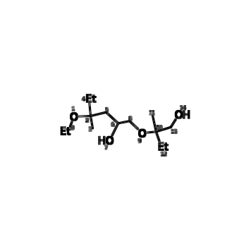 CCOC(C)(CC)CC(O)COC(C)(CC)CO